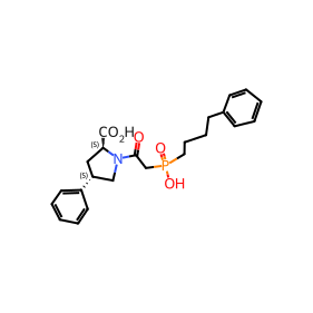 O=C(O)[C@@H]1C[C@@H](c2ccccc2)CN1C(=O)CP(=O)(O)CCCCc1ccccc1